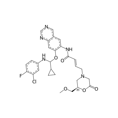 COC[C@H]1CN(CC=CC(=O)Nc2cc3cncnc3cc2OC(Nc2ccc(F)c(Cl)c2)C2CC2)CC(=O)O1